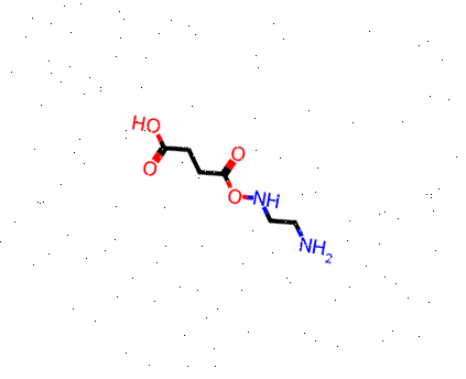 NCCNOC(=O)CCC(=O)O